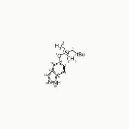 CC(C)(C)C[Si](C)(C)Oc1ccc2[nH]ncc2c1